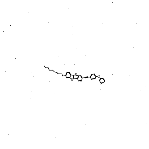 CCCCCCCCCCc1ccc2c(c1)sc1c3ccc(C#Cc4ccc(Oc5ccccc5)cc4)cc3sc21